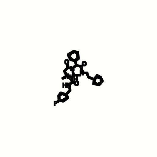 CN1CC(=O)N2C(c3ccccc3)C(=O)N(CCc3ccccc3)C[C@@H]2N1C(=O)NCc1ccc(F)cc1